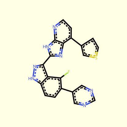 Fc1c(-c2cncnc2)ccc2[nH]nc(-c3nc4c(-c5ccsc5)ccnc4[nH]3)c12